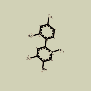 Cc1ccc(-c2cc(C(C)(C)C)c(C(C)(C)C)c[n+]2C)c(C)c1